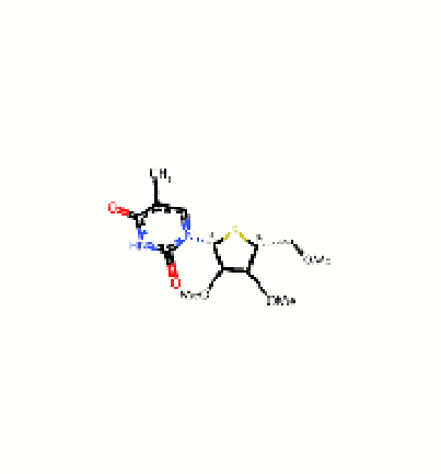 COC[C@H]1S[C@@H](n2cc(C)c(=O)[nH]c2=O)C(OC)C1OC